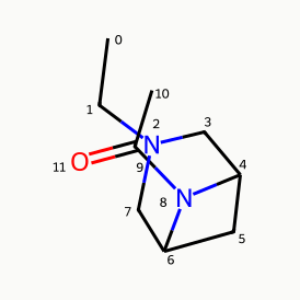 CCN1CC2CC(C1)N2C(C)=O